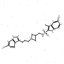 Cc1c(S(=O)(=O)NCC2CN(CCCc3noc4cc(F)ccc34)C2)sc2ccc(Cl)cc12